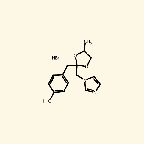 Br.Cc1ccc(CC2(Cn3ccnc3)OCC(C)O2)cc1